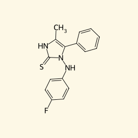 Cc1[nH]c(=S)n(Nc2ccc(F)cc2)c1-c1ccccc1